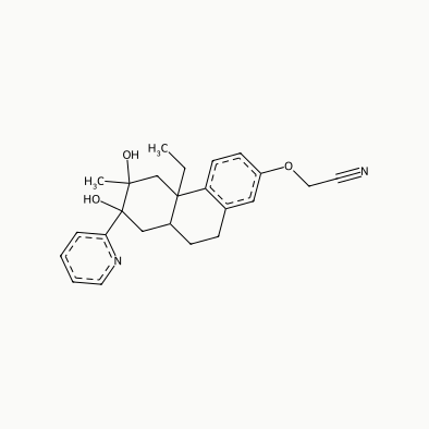 CCC12CC(C)(O)C(O)(c3ccccn3)CC1CCc1cc(OCC#N)ccc12